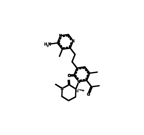 C=C1N(C)CCC[C@]1(C)n1c(C(C)=O)c(C)cc(CCc2ncnc(N)c2C)c1=O